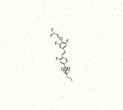 CCCC12COC(c3ccc(/C=C/c4cc(F)c(O/C=C/C(F)F)c(F)c4)c(F)c3)(OC1)OC2